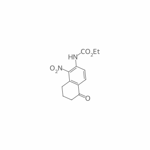 CCOC(=O)Nc1ccc2c(c1[N+](=O)[O-])CCCC2=O